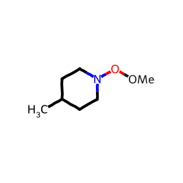 COON1CCC(C)CC1